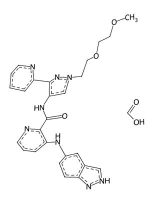 COCCOCCn1cc(NC(=O)c2ncccc2Nc2ccc3n[nH]cc3c2)c(-c2ccccn2)n1.O=CO